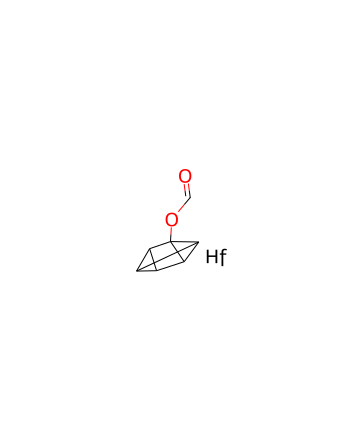 O=COC12C3C4C3C1C42.[Hf]